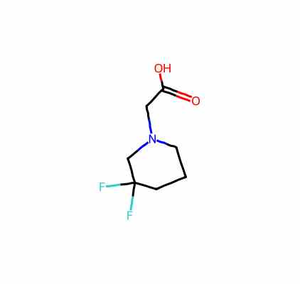 O=C(O)CN1CCCC(F)(F)C1